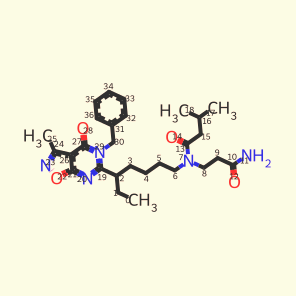 CCC(CCCCN(CCC(N)=O)C(=O)CC(C)C)c1nc2onc(C)c2c(=O)n1Cc1ccccc1